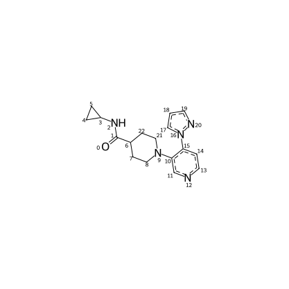 O=C(NC1CC1)C1CCN(c2cnccc2-n2cccn2)CC1